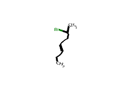 CCC=CCC(C)Br